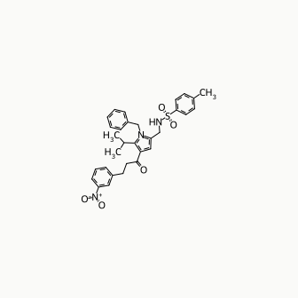 Cc1ccc(S(=O)(=O)NCc2cc(C(=O)CCc3cccc([N+](=O)[O-])c3)c(C(C)C)n2Cc2ccccc2)cc1